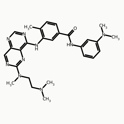 Cc1ccc(C(=O)Nc2cccc(N(C)C)c2)cc1Nc1ncnc2cnc(N(C)CCN(C)C)nc12